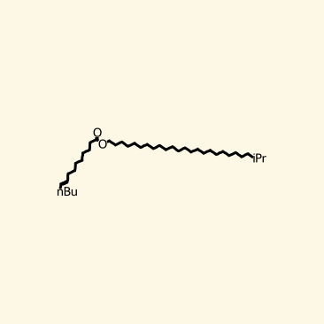 CCCCC=CCCCCCCCC(=O)OCCCCCCCCCCCCCCCCCCCCCCCC(C)C